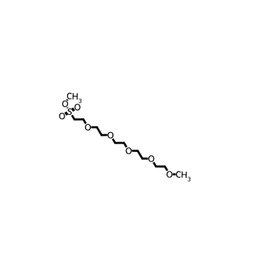 COCCOCCOCCOCCOCCS(=O)(=O)OC